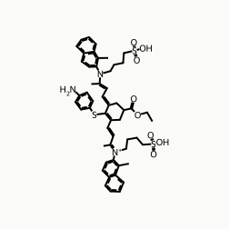 CCOC(=O)C1CC(/C=C/C(C)=[N+](\CCCCS(=O)(=O)O)c2ccc3ccccc3c2C)=C(Sc2ccc(N)cc2)C(=C/C=C(\C)N(CCCCS(=O)(=O)O)c2ccc3ccccc3c2C)/C1